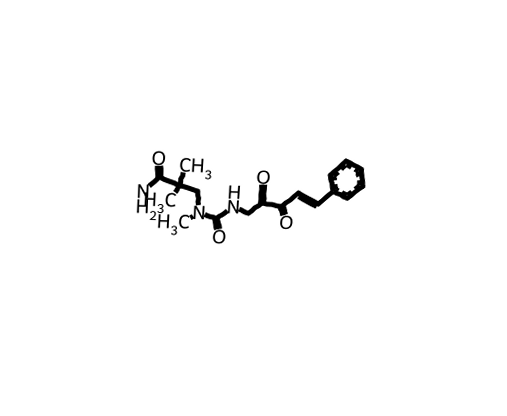 CN(CC(C)(C)C(N)=O)C(=O)NCC(=O)C(=O)/C=C/c1ccccc1